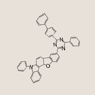 C1=CC2c3cc(-c4nc(-c5ccccc5)nc(-c5ccc(-c6ccccc6)cc5)n4)ccc3OC2c2c1n(-c1ccccc1)c1ccccc21